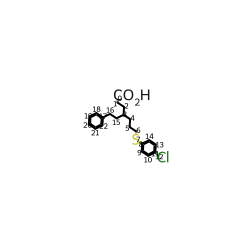 O=C(O)CCC(CCCSc1ccc(Cl)cc1)CCc1ccccc1